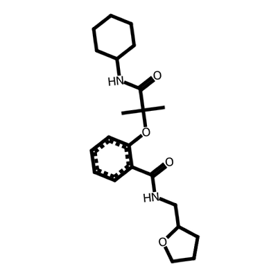 CC(C)(Oc1ccccc1C(=O)NCC1CCCO1)C(=O)NC1CCCCC1